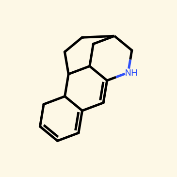 C1=CCC2C(=C1)C=C1NCC3CCC2C1C3